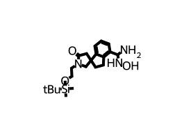 CC(C)(C)[Si](C)(C)OCCN1CC2(CCc3c(C(N)NO)cccc32)CC1=O